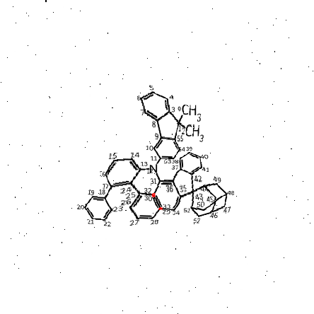 CC1(C)c2ccccc2-c2cc(N(c3cccc(-c4ccccc4)c3-c3ccccc3)c3cccc4c3-c3ccccc3C43C4CC5CC(C4)CC3C5)ccc21